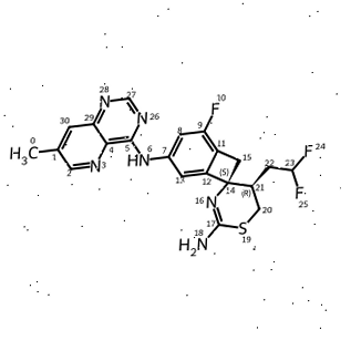 Cc1cnc2c(Nc3cc(F)c4c(c3)[C@@]3(C4)N=C(N)SC[C@@H]3CC(F)F)ncnc2c1